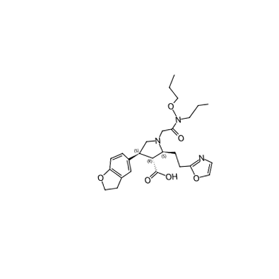 CCCON(CCC)C(=O)CN1C[C@H](c2ccc3c(c2)CCO3)[C@@H](C(=O)O)[C@@H]1CCc1ncco1